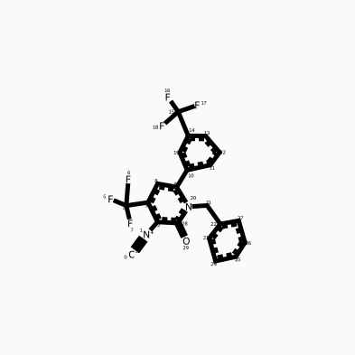 [C-]#[N+]c1c(C(F)(F)F)cc(-c2cccc(C(F)(F)F)c2)n(Cc2ccccc2)c1=O